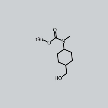 CN(C(=O)OC(C)(C)C)C1CCC(CO)CC1